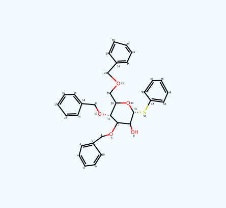 OC1C(OCc2ccccc2)[C@H](OCc2ccccc2)C(COCc2ccccc2)O[C@@H]1Sc1ccccc1